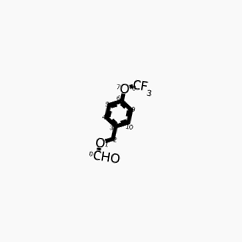 O=COCc1ccc(OC(F)(F)F)cc1